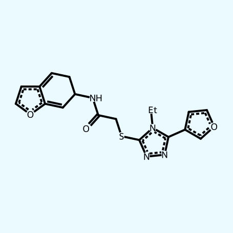 CCn1c(SCC(=O)NC2C=c3occc3=CC2)nnc1-c1ccoc1